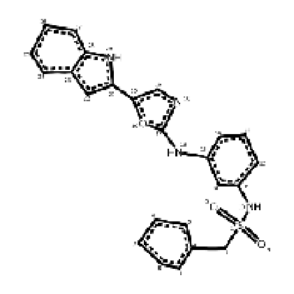 O=S(=O)(Cc1ccccc1)Nc1cccc(Nc2ncc(-c3cc4ccccc4[nH]3)o2)c1